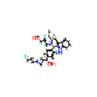 C[C@@H]1Cc2c([nH]c3ccccc23)[C@@H](c2c(F)cc([C@H](O)C3CN(CCCF)C3)cc2F)N1C[C@H](F)CO